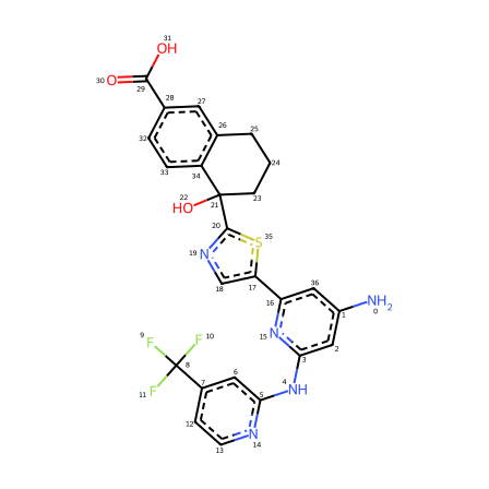 Nc1cc(Nc2cc(C(F)(F)F)ccn2)nc(-c2cnc(C3(O)CCCc4cc(C(=O)O)ccc43)s2)c1